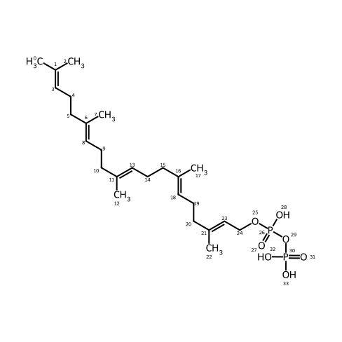 CC(C)=CCC/C(C)=C/CCC(C)=CCCC(C)=CCCC(C)=CCOP(=O)(O)OP(=O)(O)O